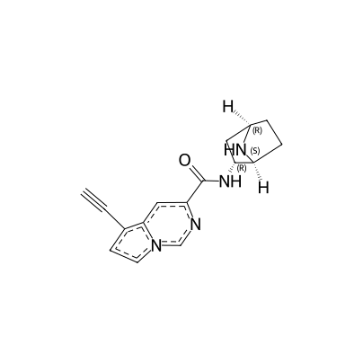 C#Cc1ccn2cnc(C(=O)N[C@@H]3C[C@H]4CC[C@@H]3N4)cc12